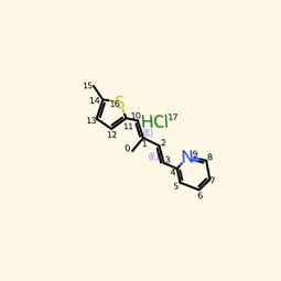 CC(/C=C/c1ccccn1)=C\c1ccc(C)s1.Cl